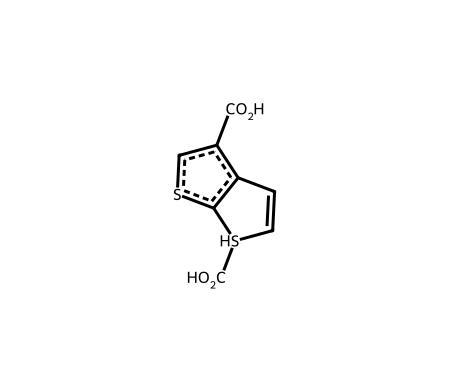 O=C(O)c1csc2c1C=C[SH]2C(=O)O